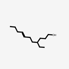 CCCC=CCCC(CC)CCCO